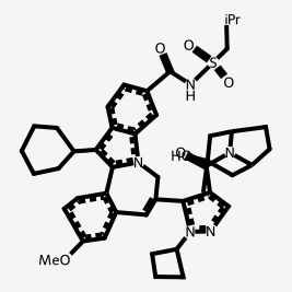 COc1ccc2c(c1)C=C(c1c(C(=O)N3C4CCC3CC(C)(O)C4)cnn1C1CCC1)Cn1c-2c(C2CCCCC2)c2ccc(C(=O)NS(=O)(=O)CC(C)C)cc21